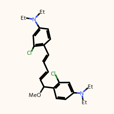 CCN(CC)c1ccc(/C=C/C=C/C(OC)c2ccc(N(CC)CC)cc2Cl)c(Cl)c1